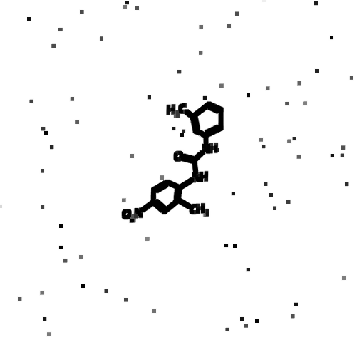 Cc1cccc(NC(=O)Nc2ccc([N+](=O)[O-])cc2C)c1